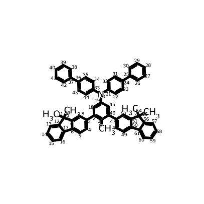 Cc1c(-c2ccc3c(c2)C(C)(C)c2ccccc2-3)cc(N(c2ccc(-c3ccccc3)cc2)c2ccc(-c3ccccc3)cc2)cc1-c1ccc2c(c1)C(C)(C)c1ccccc1-2